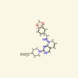 CCOC(=O)C1CCN(c2ncc3c(n2)N(NCc2ccc4c(c2)OCO4)CC=C3)CC1